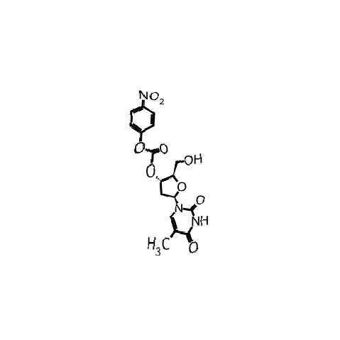 Cc1cn([C@H]2C[C@H](OC(=O)Oc3ccc([N+](=O)[O-])cc3)[C@@H](CO)O2)c(=O)[nH]c1=O